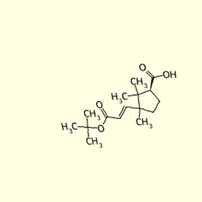 CC(C)(C)OC(=O)C=CC1(C)CC[C@H](C(=O)O)C1(C)C